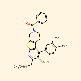 COc1ccc(-c2c(C(=O)O)c(CN(C)O)nc3sc4c(c23)CCN(C(=O)c2ccccc2)C4)cc1OC